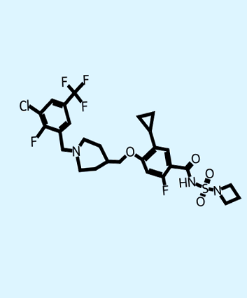 O=C(NS(=O)(=O)N1CCC1)c1cc(C2CC2)c(OCC2CCN(Cc3cc(C(F)(F)F)cc(Cl)c3F)CC2)cc1F